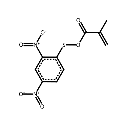 C=C(C)C(=O)OSc1ccc([N+](=O)[O-])cc1[N+](=O)[O-]